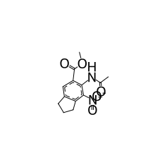 COC(=O)c1cc2c(c([N+](=O)[O-])c1NC(C)=O)CCC2